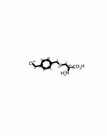 N[C@@H](CSCc1ccc(CCl)cc1)C(=O)O